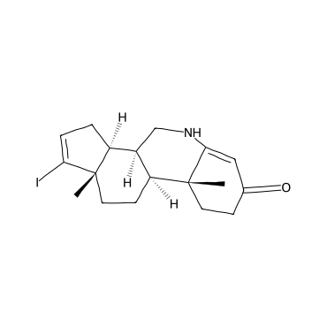 C[C@]12CCC(=O)C=C1NC[C@H]1[C@@H]2CC[C@]2(C)C(I)=CC[C@@H]12